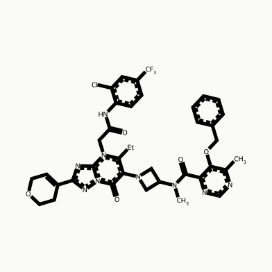 CCc1c(N2CC(N(C)C(=O)c3ncnc(C)c3OCc3ccccc3)C2)c(=O)n2nc(C3=CCOCC3)nc2n1CC(=O)Nc1ccc(C(F)(F)F)cc1Cl